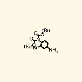 CC(C)(C)OC(=O)N(C(=O)OC(C)(C)C)c1ccc(N)cc1Br